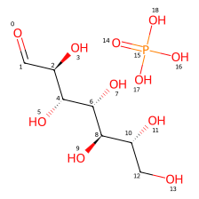 O=C[C@@H](O)[C@@H](O)[C@H](O)[C@H](O)[C@H](O)CO.O=P(O)(O)O